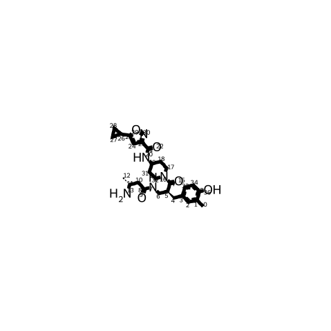 Cc1cc(C[C@@H](CNC(=O)C[C@@H](C)N)C(=O)N2CCC(NC(=O)c3cc(C4CC4)on3)CC2)ccc1O